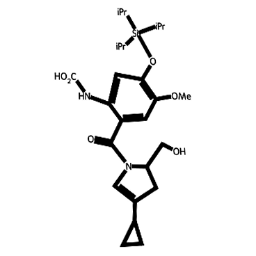 COc1cc(C(=O)N2C=C(C3CC3)CC2CO)c(NC(=O)O)cc1O[Si](C(C)C)(C(C)C)C(C)C